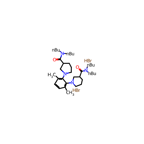 Br.Br.CCCCN(CCCC)C(=O)C1CCCN(c2c(C)ccc(C)c2N2CCCC(C(=O)N(CCCC)CCCC)C2)C1